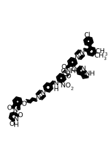 CC1(C)CCC(CN2CCN(c3ccc(C(=O)NS(=O)(=O)c4ccc(NCC5CCC(N6CCN(CCCCOc7cccc8c7CN(C7CCC(=O)NC7=O)C8=O)CC6)CC5)c([N+](=O)[O-])c4)c(Oc4cnc5[nH]ccc5c4)c3)CC2)=C(c2ccc(Cl)cc2)C1